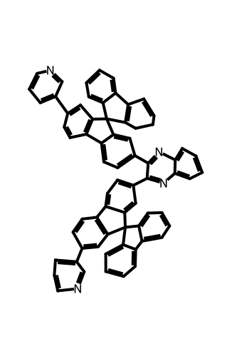 C1=CC2=C(CC1)C1(c3ccccc32)c2cc(-c3cccnc3)ccc2-c2ccc(-c3nc4ccccc4nc3-c3ccc4c(c3)C3(c5ccccc5-c5ccccc53)c3cc(-c5cccnc5)ccc3-4)cc21